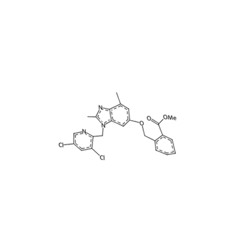 COC(=O)c1ccccc1COc1cc(C)c2nc(C)n(Cc3ncc(Cl)cc3Cl)c2c1